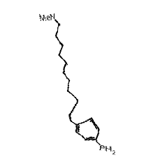 CNCCCCCCCCCCc1ccc(P)cc1